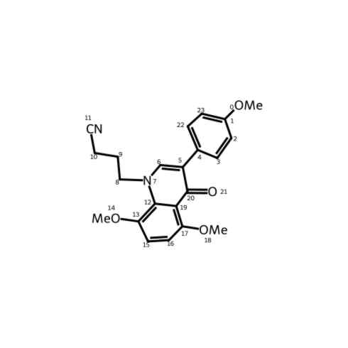 COc1ccc(-c2cn(CCCC#N)c3c(OC)ccc(OC)c3c2=O)cc1